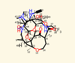 C#CN[C@@H]1[C@@H](C)NC[C@H](C)C[C@]2(C)OCC[C@](C)(C(=O)O[C@H](CC)[C@@]1(C)O)C(=O)[C@H](C)[C@H]2O[C@@H]1O[C@H](CNCC(F)(F)F)C[C@H](N(C)C)[C@H]1O